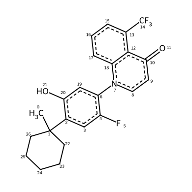 CC1(c2cc(F)c(-n3ccc(=O)c4c(C(F)(F)F)cccc43)cc2O)CCCCC1